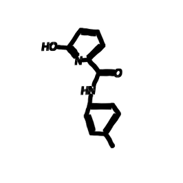 Cc1ccc(NC(=O)c2cccc(O)n2)cc1